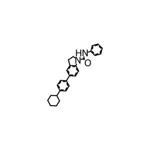 O=C(Nc1ccccc1)N1CCc2cc(-c3ccc(C4CCCCC4)cc3)ccc21